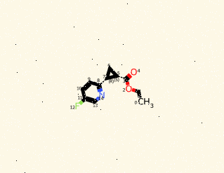 CCOC(=O)[C@H]1C[C@H]1c1ccc(F)cn1